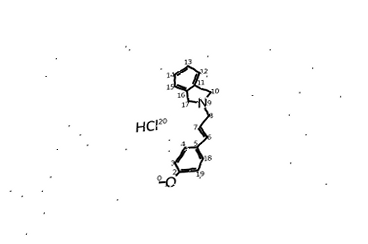 COc1ccc(C=CCN2Cc3ccccc3C2)cc1.Cl